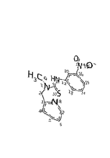 CN(Cc1ccccn1)C(=S)Nc1cccc([N+](=O)[O-])c1